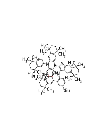 Cc1cc2c3c(c1)N(c1ccc(C(C)(C)C)cc1-c1cc4c(cc1C)C(C)(C)CCC4(C)C)c1c(sc4cc5c(cc14)C(C)(C)CCC5(C)C)B3c1cc3c(cc1N2c1ccc2c(c1)C(C)(C)CCC2(C)C)C(C)(C)CCC3(C)C